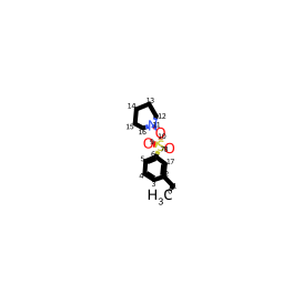 CCc1cccc(S(=O)(=O)ON2CCCCC2)c1